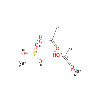 CC(=O)O.CC(=O)O.O=S([O-])[O-].[Na+].[Na+]